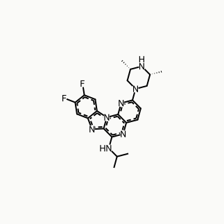 CC(C)Nc1nc2ccc(N3C[C@@H](C)N[C@@H](C)C3)nc2n2c1nc1cc(F)c(F)cc12